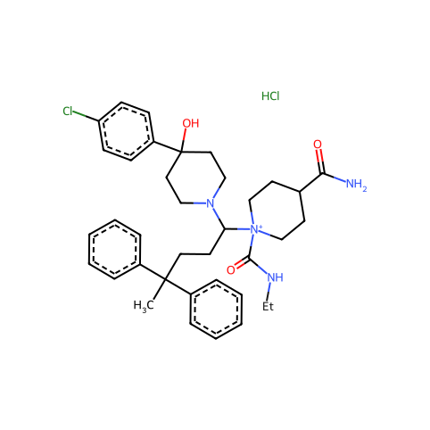 CCNC(=O)[N+]1(C(CCC(C)(c2ccccc2)c2ccccc2)N2CCC(O)(c3ccc(Cl)cc3)CC2)CCC(C(N)=O)CC1.Cl